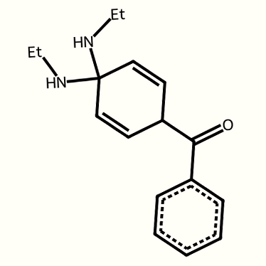 CCNC1(NCC)C=CC(C(=O)c2ccccc2)C=C1